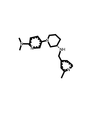 Cc1cc(CN[C@H]2CCCN(c3ccc(N(C)C)nc3)C2)ccn1